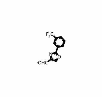 O=[C]c1coc(-c2cccc(C(F)(F)F)c2)n1